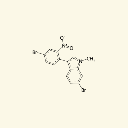 Cn1cc(-c2ccc(Br)cc2[N+](=O)[O-])c2ccc(Br)cc21